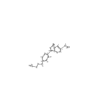 CCOc1ccc2c(c1)ncn2-c1ccc(OCCO)cc1